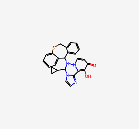 O=c1ccn2c(c1O)-c1nccn1C(C1CC1)N2C1c2ccccc2CSc2ccccc21